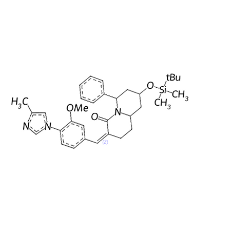 COc1cc(/C=C2/CCC3CC(O[Si](C)(C)C(C)(C)C)CC(c4ccccc4)N3C2=O)ccc1-n1cnc(C)c1